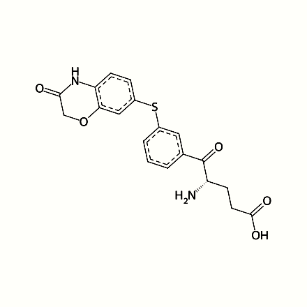 N[C@@H](CCC(=O)O)C(=O)c1cccc(Sc2ccc3c(c2)OCC(=O)N3)c1